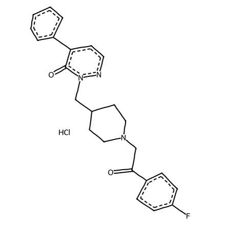 Cl.O=C(CN1CCC(Cn2nccc(-c3ccccc3)c2=O)CC1)c1ccc(F)cc1